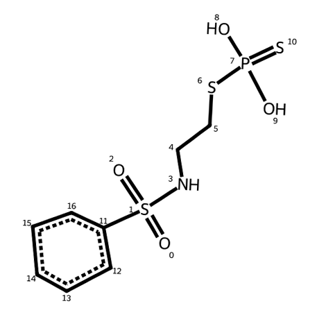 O=S(=O)(NCCSP(O)(O)=S)c1ccccc1